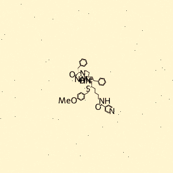 CNC(=O)[C@H](Cc1ccccc1)N1CC[C@](CCc2ccccc2)(NC[C@@H](CCCCNC(=O)c2ccncc2)SCc2ccc(OC)cc2)C1=O